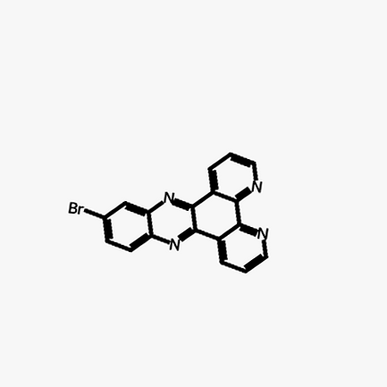 Brc1ccc2nc3c4cccnc4c4ncccc4c3nc2c1